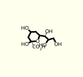 O=C(O)[C@]1(O)CC(O)CC([C@H](O)C(O)CO)O1